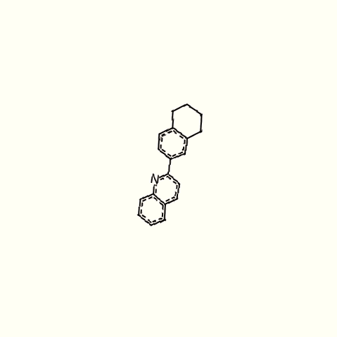 c1ccc2nc(-c3ccc4c(c3)CCCC4)ccc2c1